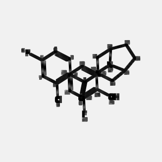 O=C(c1ccc(F)cc1Cl)N1CC2CCC(C1)N2c1cccc(F)c1O